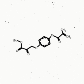 C=C(C)C(=O)Oc1ccc(OCC(=O)C(=O)OC(C)(C)C)cc1